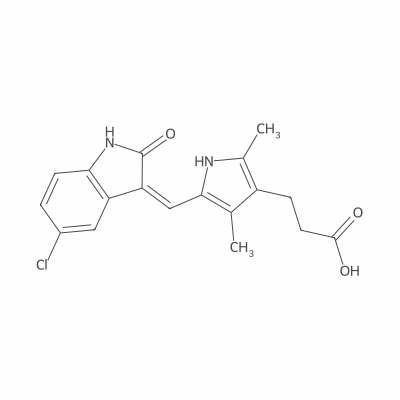 Cc1[nH]c(/C=C2\C(=O)Nc3ccc(Cl)cc32)c(C)c1CCC(=O)O